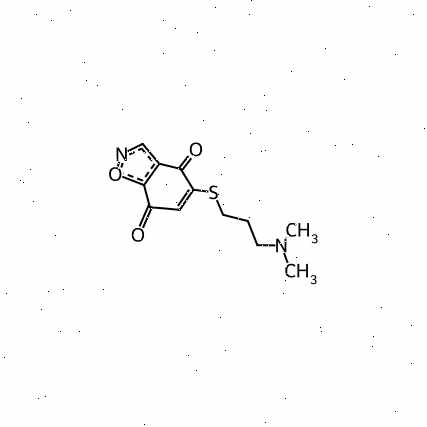 CN(C)CCCSC1=CC(=O)c2oncc2C1=O